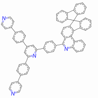 c1ccc2c(c1)-c1ccccc1C21c2ccccc2-c2c1ccc1c(-c3ccc(-c4cc(-c5ccc(-c6ccncc6)cc5)cc(-c5ccc(-c6ccncc6)cc5)n4)cc3)nc3ccccc3c21